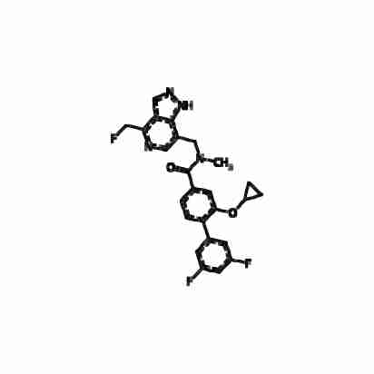 CN(Cc1cnc(CF)c2cn[nH]c12)C(=O)c1ccc(-c2cc(F)cc(F)c2)c(OC2CC2)c1